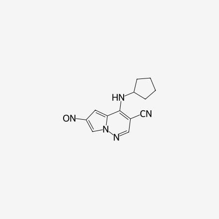 N#Cc1cnn2cc(N=O)cc2c1NC1CCCC1